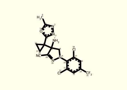 Cc1nnc(C2(C3(N)CN(c4c(Cl)cc(C(F)(F)F)cc4Cl)N=C3C#N)CC2)o1